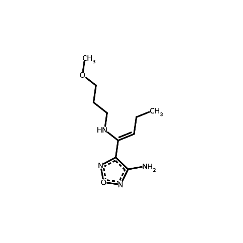 CC/C=C(\NCCCOC)c1nonc1N